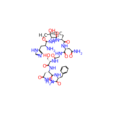 C[C@@H](O)[C@H](NC(=O)[C@@H](N)Cc1cnc[nH]1)C(=O)N[C@@H](CC(=O)O)C(=O)N[C@@H](CC(N)=O)C(=O)NCC(=O)N[C@@H](CO)C(=O)N[C@@H](CC(N)=O)C(=O)N[C@@H](Cc1ccccc1)C(N)=O